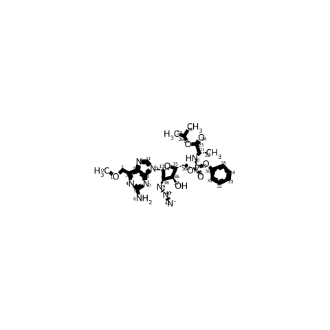 COCc1nc(N)nc2c1ncn2[C@@H]1O[C@H](CO[P@](=O)(N[C@@H](C)C(=O)OC(C)C)Oc2ccccc2)[C@@H](O)[C@H]1N=[N+]=[N-]